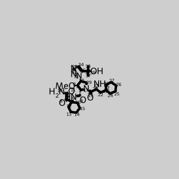 CO[C@@H]1[C@@H](C(=O)NC2(C(=O)C(N)=O)CCCCC2)N(C(=O)[C@H](N)CC2CCCCC2)C[C@H]1n1nncc1C(C)(C)O